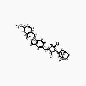 CN1C2CC[C@@H]1C[C@@H](N1C(=O)S/C(=C\c3ccc4c(cnn4Cc4ccc(C(F)(F)F)cc4C(F)(F)F)c3)C1=O)C2